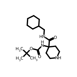 CC(C)(C)OC(=O)NC1(C(=O)NCC2CCCCC2)CCNCC1